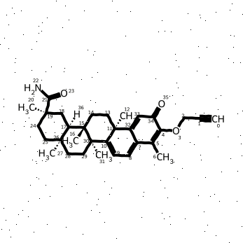 C#CCOC1=C(C)C2=CC=C3[C@@](C)(CC[C@@]4(C)[C@@H]5C[C@](C)(C(N)=O)CC[C@]5(C)CC[C@]34C)C2=CC1=O